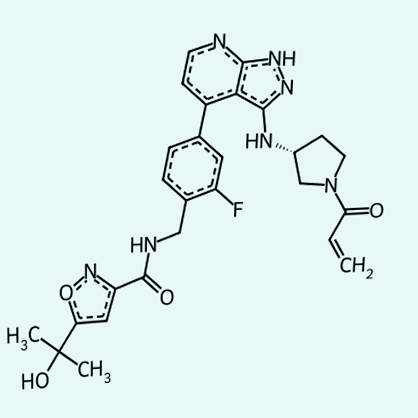 C=CC(=O)N1CC[C@@H](Nc2n[nH]c3nccc(-c4ccc(CNC(=O)c5cc(C(C)(C)O)on5)c(F)c4)c23)C1